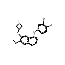 COc1cc2ncnc(Nc3ccc(F)c(Cl)c3)c2cc1SC1CNC1